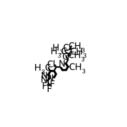 Cc1ccc(C(Cl)c2ccn3c(C(F)(F)F)nnc3c2C)nc1CO[Si](C)(C)C(C)(C)C